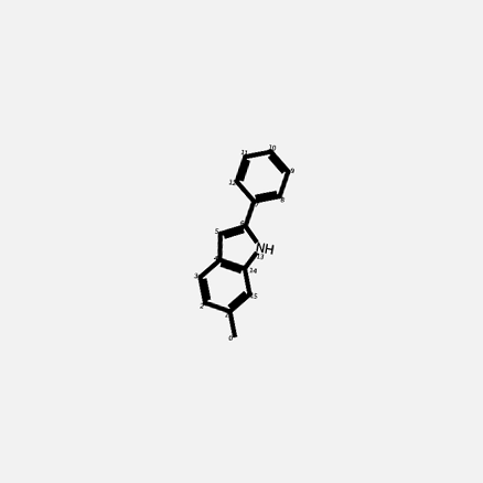 Cc1ccc2cc(-c3ccccc3)[nH]c2c1